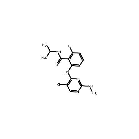 CNc1ncc(Cl)c(Nc2cccc(F)c2C(=O)NC(C)C)n1